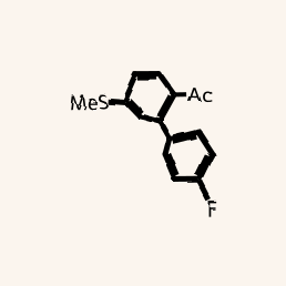 CSc1ccc(C(C)=O)c(-c2ccc(F)cc2)c1